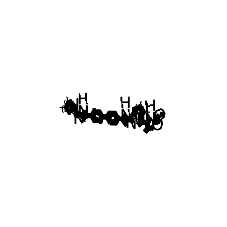 C=C(C(NC(=O)OC)C(C)C)N1[C@H](c2ncc(-c3ccc(-c4ccc(-c5cnc([C@@H]6C[C@H](C)[C@H](C)N6C)[nH]5)cc4)cc3)[nH]2)C[C@H](C)[C@@H]1C